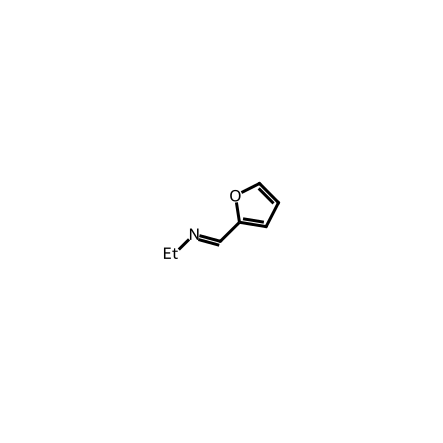 CC/N=C/c1ccco1